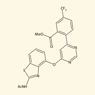 COC(=O)c1cc(C(F)(F)F)ccc1-c1cc(Oc2cccc3sc(NC(C)=O)nc23)ncn1